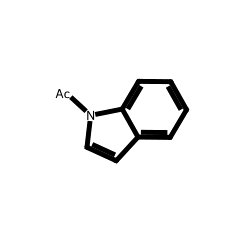 CC(=O)n1ccc2ccccc21